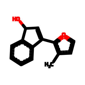 Cc1ccoc1C1=CC(O)c2ccccc21